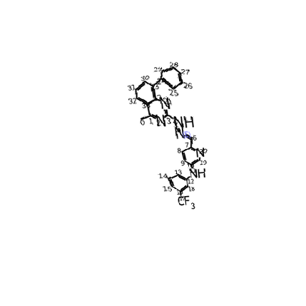 Cc1nc(N/N=C/c2ccc(Nc3cccc(C(F)(F)F)c3)cn2)nc2c(-c3ccccc3)cccc12